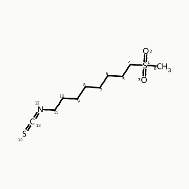 CS(=O)(=O)CCCCCCCCN=C=S